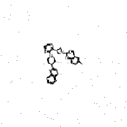 Cc1ccc2nc(N3CC(c4nccnc4N4CCC(c5ccc6ccccc6n5)CC4)C3)ccc2c1